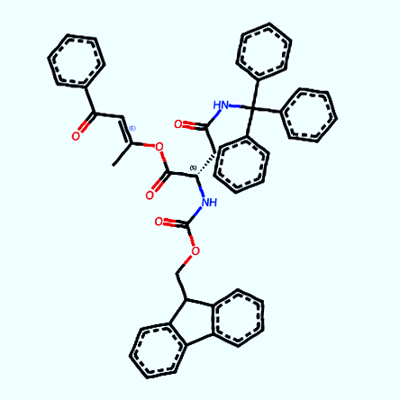 C/C(=C\C(=O)c1ccccc1)OC(=O)[C@H](CC(=O)NC(c1ccccc1)(c1ccccc1)c1ccccc1)NC(=O)OCC1c2ccccc2-c2ccccc21